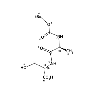 C[C@H](NC(=O)OC(C)(C)C)C(=O)N[C@@H](CO)C(=O)O